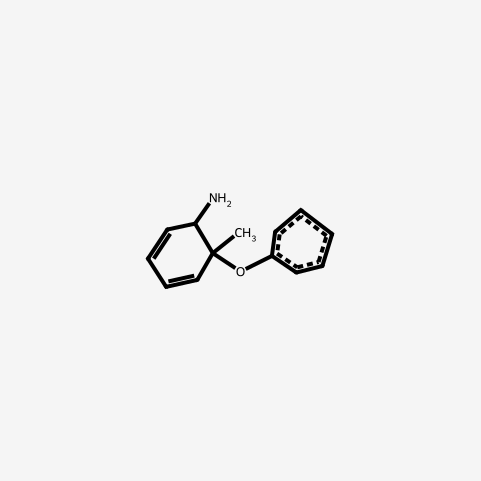 CC1(Oc2ccccc2)C=CC=CC1N